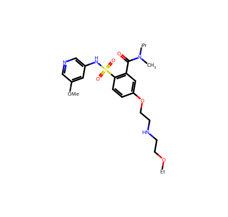 CCOCCNCCOc1ccc(S(=O)(=O)Nc2cncc(OC)c2)c(C(=O)N(C)C(C)C)c1